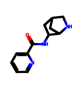 O=C(NC1CC2CNC1C2)c1ccccn1